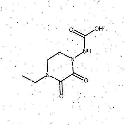 CCN1CCN(NC(=O)O)C(=O)C1=O